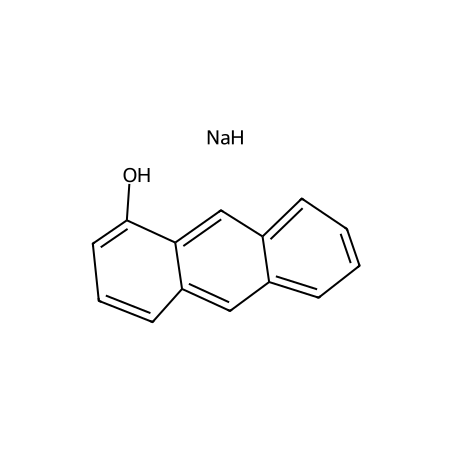 Oc1cccc2cc3ccccc3cc12.[NaH]